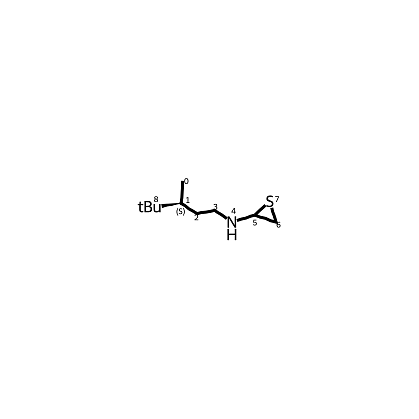 C[C@@H](CCNC1CS1)C(C)(C)C